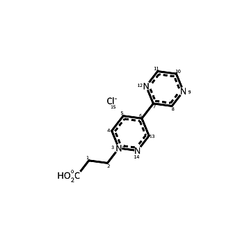 O=C(O)CC[n+]1ccc(-c2cnccn2)cn1.[Cl-]